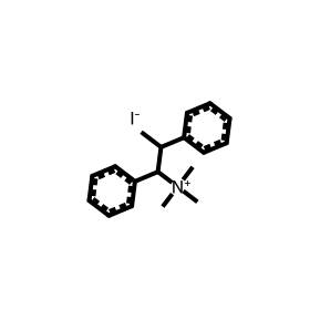 CC(c1ccccc1)C(c1ccccc1)[N+](C)(C)C.[I-]